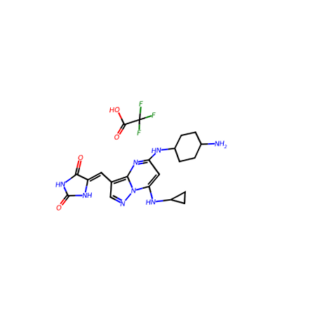 NC1CCC(Nc2cc(NC3CC3)n3ncc(/C=C4\NC(=O)NC4=O)c3n2)CC1.O=C(O)C(F)(F)F